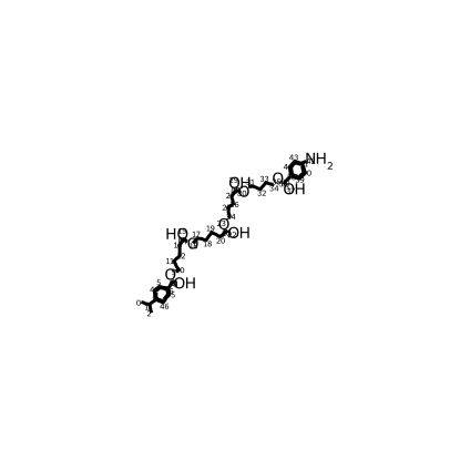 CC(C)c1ccc([C@@H](O)OCCCC[C@H](O)OCCCC[C@H](O)OCCCC[C@H](O)OCCCCO[C@@H](O)c2ccc(N)cc2)cc1